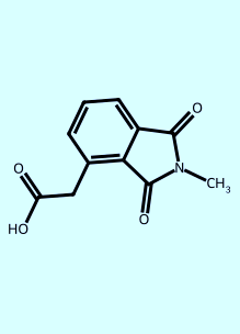 CN1C(=O)c2cccc(CC(=O)O)c2C1=O